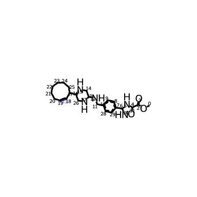 COC(=O)C1NC(c2ccc(CNC3CNC(C4/C=C\CCCCCC4)CN3)cc2)NO1